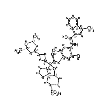 C[C@@H]1CN(C2CN(C(O[C@H]3CC[C@H](C(=O)O)CC3)(C(=O)Cc3cc(Cl)c(NC(=O)c4cn(C)c5ccccc45)cc3Cl)N3CCCC3)C2)C[C@H](C)O1